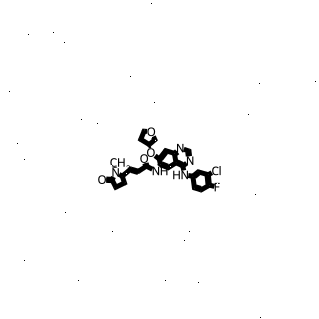 CN1C(=O)CCC1/C=C/C(=O)Nc1cc2c(Nc3ccc(F)c(Cl)c3)ncnc2cc1O[C@H]1CCOC1